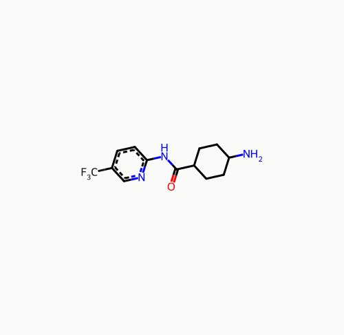 NC1CCC(C(=O)Nc2ccc(C(F)(F)F)cn2)CC1